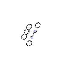 C(/C=C/c1ccccc1)=C\c1ccccc1.c1ccc2cc3ccccc3cc2c1